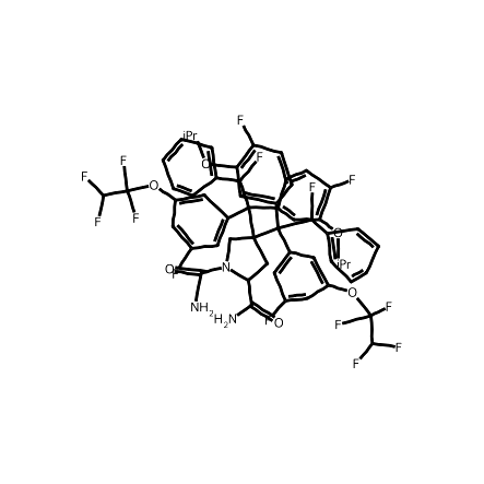 CC(C)Oc1cc(C(c2cc(F)cc(OC(F)(F)C(F)F)c2)(C(F)c2ccccc2)C2(C(c3cc(F)cc(OC(F)(F)C(F)F)c3)(c3ccc(F)c(OC(C)C)c3)C(F)c3ccccc3)CC(C(N)=O)N(C(N)=O)C2)ccc1F